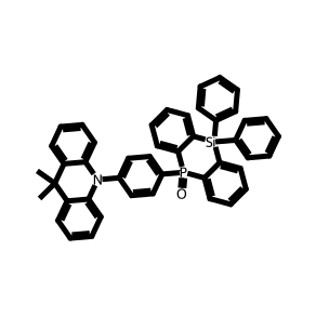 CC1(C)c2ccccc2N(c2ccc(P3(=O)c4ccccc4[Si](c4ccccc4)(c4ccccc4)c4ccccc43)cc2)c2ccccc21